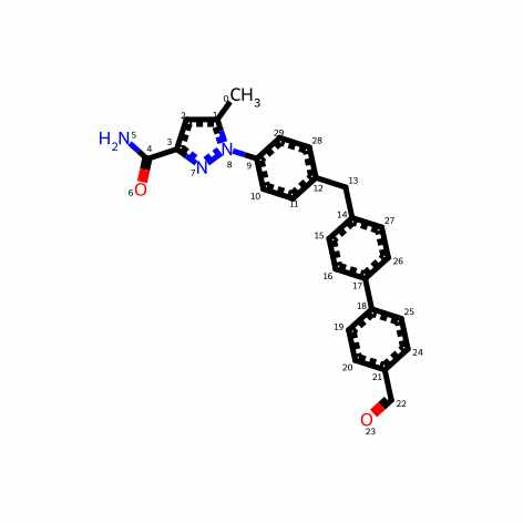 Cc1cc(C(N)=O)nn1-c1ccc(Cc2ccc(-c3ccc(C=O)cc3)cc2)cc1